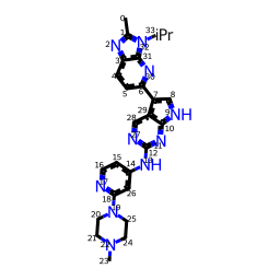 Cc1nc2ccc(-c3c[nH]c4nc(Nc5ccnc(N6CCN(C)CC6)c5)ncc34)nc2n1C(C)C